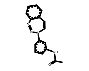 CC(=O)Nc1cccc(N2C=Cc3ccccc3N=N2)c1